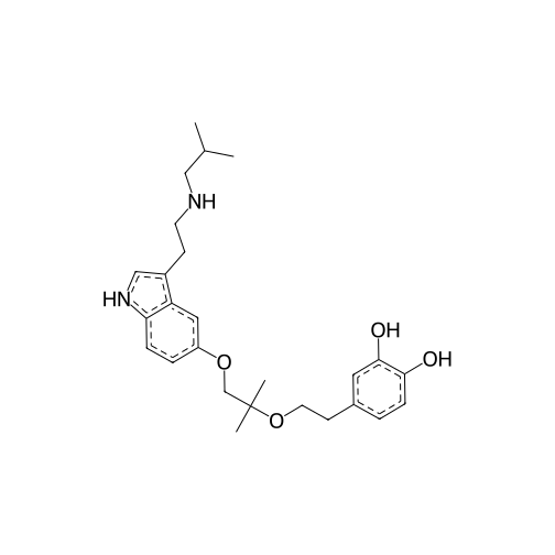 CC(C)CNCCc1c[nH]c2ccc(OCC(C)(C)OCCc3ccc(O)c(O)c3)cc12